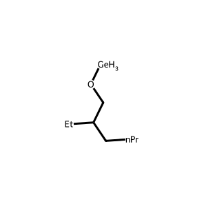 CCCCC(CC)C[O][GeH3]